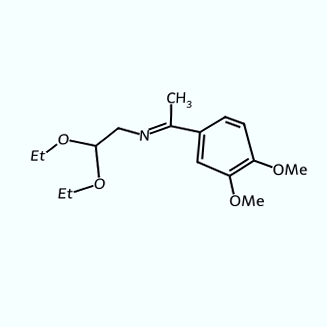 CCOC(CN=C(C)c1ccc(OC)c(OC)c1)OCC